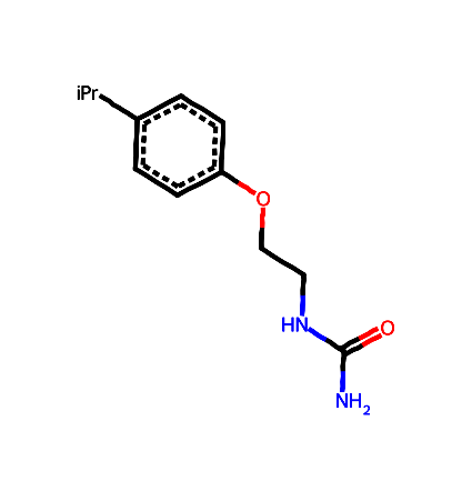 CC(C)c1ccc(OCCNC(N)=O)cc1